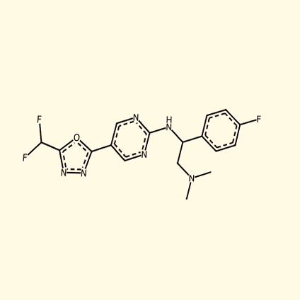 CN(C)CC(Nc1ncc(-c2nnc(C(F)F)o2)cn1)c1ccc(F)cc1